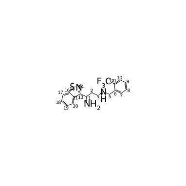 NC(CCNCc1ccccc1C(F)(F)F)c1nsc2ccccc12